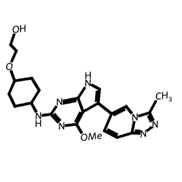 COc1nc(NC2CCC(OCCO)CC2)nc2[nH]cc(-c3ccc4nnc(C)n4c3)c12